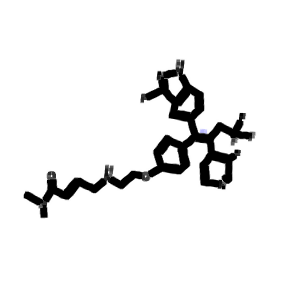 CN(C)C(=O)C=CCNCCOc1ccc(/C(=C(/CC(F)(F)F)c2ccncc2F)c2ccc3[nH]nc(F)c3c2)cc1